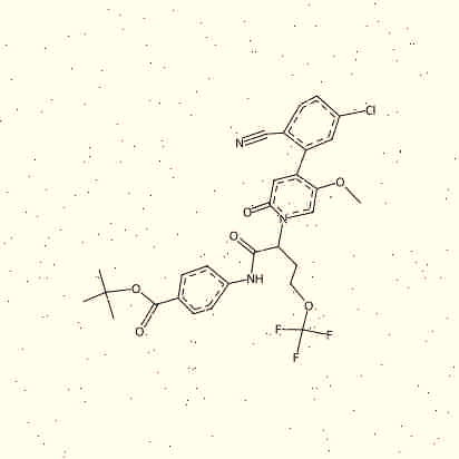 COc1cn(C(CCOC(F)(F)F)C(=O)Nc2ccc(C(=O)OC(C)(C)C)cc2)c(=O)cc1-c1cc(Cl)ccc1C#N